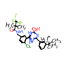 CC(C)(C)c1cccc(-c2nc(O)nc(-c3cc(CNC(=O)C(C)(C)C(F)(F)F)ccc3Cl)n2)c1